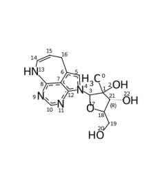 CC1(O)C(n2cc3c4c(ncnc42)NC=CC3)OC(CO)[C@H]1O